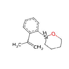 C=C(C)c1ccccc1[SiH]1CCCCO1